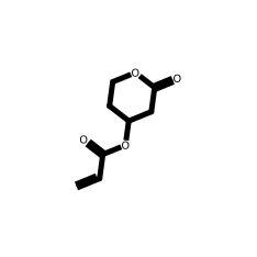 C=CC(=O)OC1CCOC(=O)C1